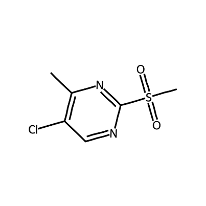 Cc1nc(S(C)(=O)=O)ncc1Cl